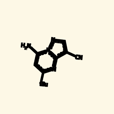 CC(C)(C)c1cc(N)n2ncc(C#N)c2n1